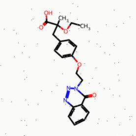 CCOC(C)(Cc1ccc(OCCn2nnc3ccccc3c2=O)cc1)C(=O)O